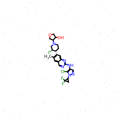 Cc1cc2cnc(Nc3cnn(C4CC4(F)F)c3Cl)nc2cc1[C@H]1CCN(C2COCC2O)C[C@@H]1F